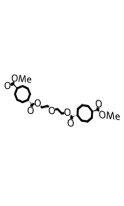 COC(=O)[C@H]1CCC[C@H](C(=O)OCCOCCOC(=O)[C@H]2CCC[C@H](C(=O)OC)CCC2)CCC1